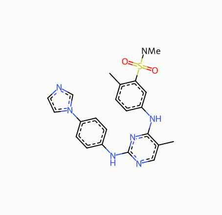 CNS(=O)(=O)c1cc(Nc2nc(Nc3ccc(-n4ccnc4)cc3)ncc2C)ccc1C